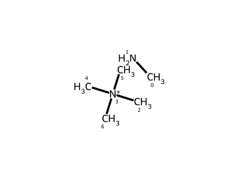 CN.C[N+](C)(C)C